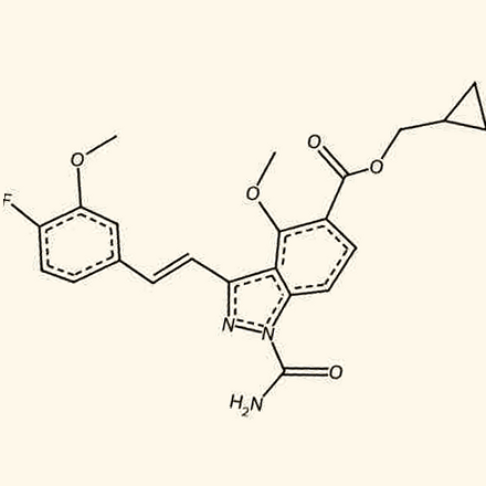 COc1cc(C=Cc2nn(C(N)=O)c3ccc(C(=O)OCC4CC4)c(OC)c23)ccc1F